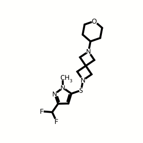 Cn1nc(C(F)F)cc1SN1CC2(C1)CN(C1CCOCC1)C2